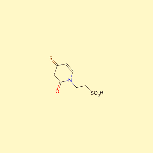 O=C1CC(=S)C=CN1CCS(=O)(=O)O